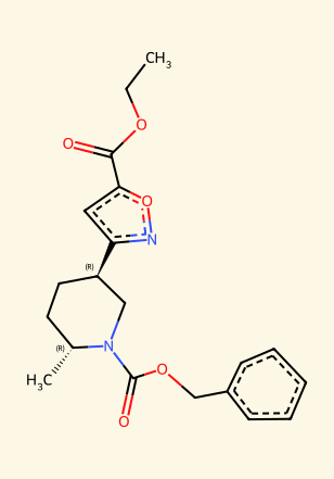 CCOC(=O)c1cc([C@@H]2CC[C@@H](C)N(C(=O)OCc3ccccc3)C2)no1